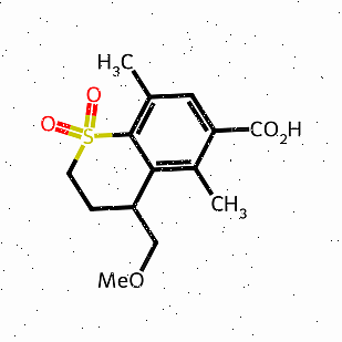 COCC1CCS(=O)(=O)c2c(C)cc(C(=O)O)c(C)c21